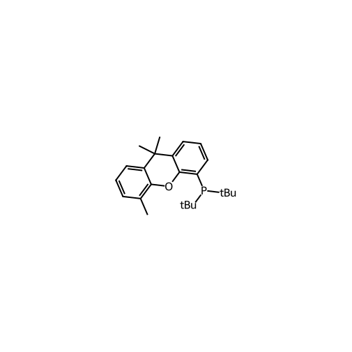 Cc1cccc2c1Oc1c(P(C(C)(C)C)C(C)(C)C)cccc1C2(C)C